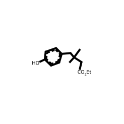 CCOC(=O)CC(C)(C)Cc1ccc(O)cc1